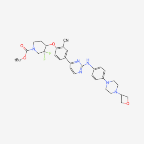 CC(C)(C)OC(=O)N1CCC(Oc2ccc(-c3ccnc(Nc4ccc(N5CCN(C6COC6)CC5)cc4)n3)cc2C#N)C(F)(F)C1